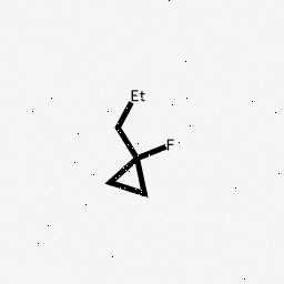 [CH2]CCC1(F)CC1